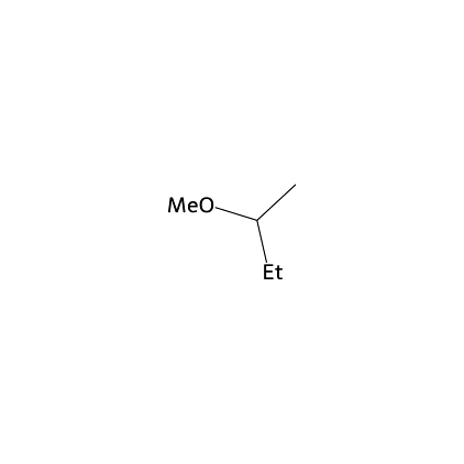 [CH]OC(C)CC